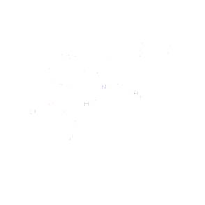 CCOP(=O)(Cc1ccccc1C1OC(c2ccccc2)C(C)N1C)OCC